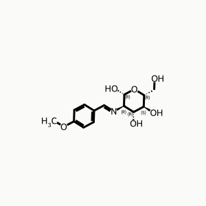 COc1ccc(C=N[C@@H]2[C@@H](O)[C@H](O)[C@@H](CO)O[C@H]2O)cc1